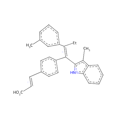 CC/C(=C(/c1ccc(/C=C/C(=O)O)cc1)c1[nH]c2ccccc2c1C)c1cccc(C)c1